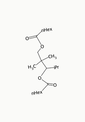 CCCCCCC(=O)OCC(C)(C)C(OC(=O)CCCCCC)C(C)C